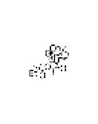 CCC(C)(C)C(=O)OC(C)C(=O)OC1C2CC3C(C)(C2)C1OS3(=O)=O